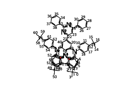 CC(C)(C)c1ccc(N(c2ccc(C(C)(C)C)cc2)c2cc(-c3cc(-c4ccccc4)nc(-c4ccccc4)n3)cc(N(c3ccc(C(C)(C)C)cc3)c3ccc(C(C)(C)C)cc3)c2-n2c3ccccc3c3ccccc32)cc1